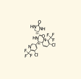 O=C1NC[C@@H](C(=O)N[C@H](c2cnc(C(F)(F)F)c(Cl)c2)c2ccc(Cl)c(C(F)(F)F)n2)N1